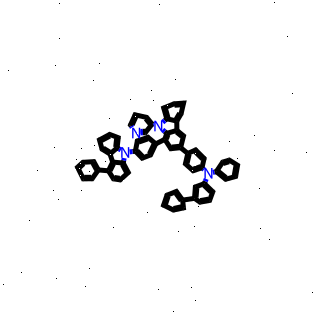 c1ccc(-c2cccc(N(c3ccccc3)c3ccc(-c4cc(-c5ccc(-n6c7ccccc7c7c(-c8ccccc8)cccc76)cc5)c5c(c4)c4ccccc4n5-c4cccnc4)cc3)c2)cc1